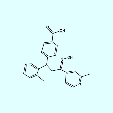 Cc1cc(C(CC(c2ccc(C(=O)O)cc2)c2ccccc2C)=NO)ccn1